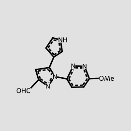 COc1ccc(-n2nc(C=O)cc2-c2cc[nH]c2)nn1